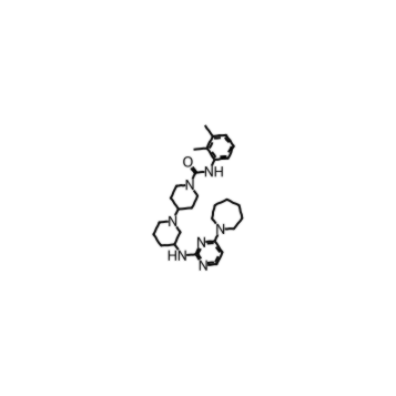 Cc1cccc(NC(=O)N2CCC(N3CCCC(Nc4nccc(N5CCCCCC5)n4)C3)CC2)c1C